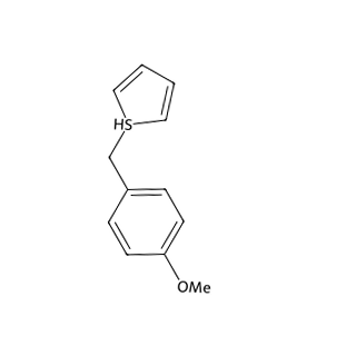 COc1ccc(C[SH]2C=CC=C2)cc1